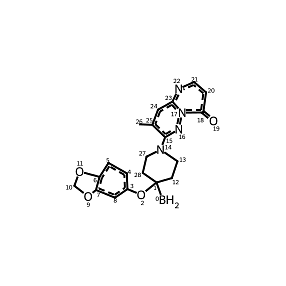 BC1(Oc2ccc3c(c2)OCO3)CCN(c2nn3c(=O)ccnc3cc2C)CC1